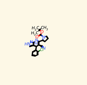 CC(C)(C)OC(=O)N1CCCC1C1=C(C#N)C(c2ccccc2Cl)c2c[nH]nc2N1